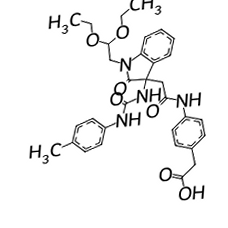 CCOC(CN1C(=O)C(CC(=O)Nc2ccc(CC(=O)O)cc2)(NC(=O)Nc2ccc(C)cc2)c2ccccc21)OCC